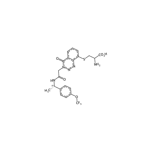 C[C@H](NC(=O)Cn1nnc2c(SCC(N)C(=O)O)cccc2c1=O)c1ccc(OC(F)(F)F)cc1